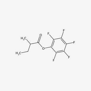 CCC(C)C(=O)Oc1c(F)c(F)c(F)c(F)c1F